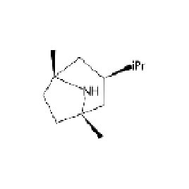 CC(C)[C@H]1C[C@]2(C)CC[C@](C)(C1)N2